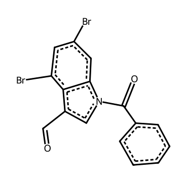 O=Cc1cn(C(=O)c2ccccc2)c2cc(Br)cc(Br)c12